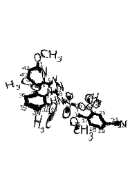 COC1=NC(c2nnc(NS(=O)(=O)C[C@@H](OC)c3ccc(C#N)cc3S(C)(=O)=O)n2-c2c(OC)cccc2OC)=CCC1